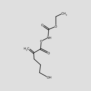 C=C(CCCO)C(=O)ONC(=O)OCC